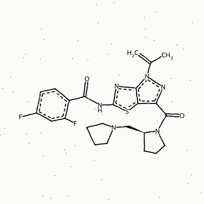 C=C(C)n1nc(C(=O)N2CCC[C@H]2CN2CCCC2)c2sc(NC(=O)c3ccc(F)cc3F)nc21